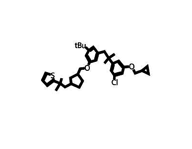 CC(C)(C)c1cc(CC(C)(C)c2cc(Cl)cc(OCC3CC3)c2)cc(OCC2CCC(CC(C)(C)c3cccs3)C2)c1